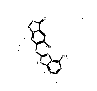 Nc1ncnc2[nH]c(Sc3cc4c(cc3Br)C(=O)CC4)nc12